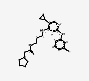 O=C(CC1CCCC1)NCCCNc1nc(Nc2cccc(F)c2)ncc1C1CC1